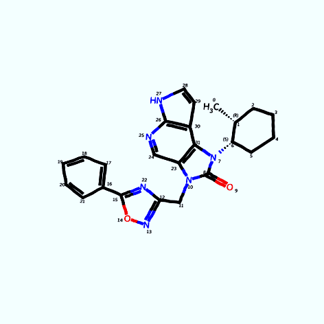 C[C@@H]1CCCC[C@@H]1n1c(=O)n(Cc2noc(-c3ccccc3)n2)c2cnc3[nH]ccc3c21